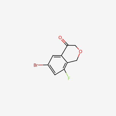 O=C1COCc2c(F)cc(Br)cc21